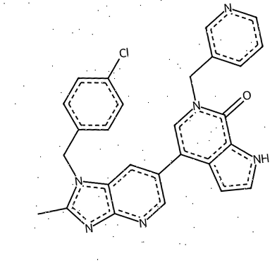 Cc1nc2ncc(-c3cn(Cc4cccnc4)c(=O)c4[nH]ccc34)cc2n1Cc1ccc(Cl)cc1